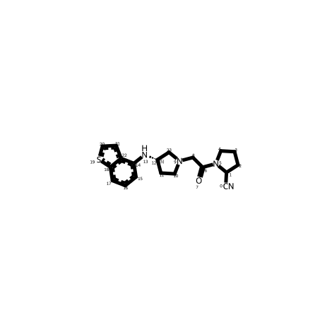 N#CC1CCCN1C(=O)CN1CC[C@H](Nc2cccc3sccc23)C1